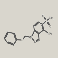 CCCc1c(S(N)(=O)=O)ccc2c1nnn2CSc1ccccc1